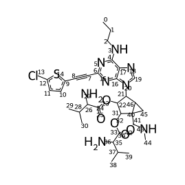 CCCNc1nc(C#Cc2ccc(Cl)s2)nc2c1ncn2C1C(OC(=O)C(N)C(C)C)C(OC(=O)C(N)C(C)C)C2(C(=O)NC)CC12